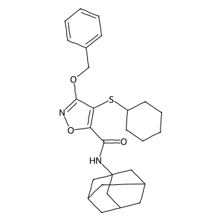 O=C(NC12CC3CC(CC(C3)C1)C2)c1onc(OCc2ccccc2)c1SC1CCCCC1